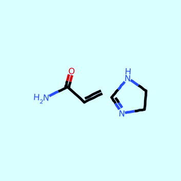 C1=NCCN1.C=CC(N)=O